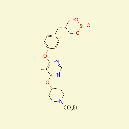 CCOC(=O)N1CCC(Oc2ncnc(Oc3ccc(C[C@H]4CO[S@@](=O)OC4)cc3)c2C)CC1